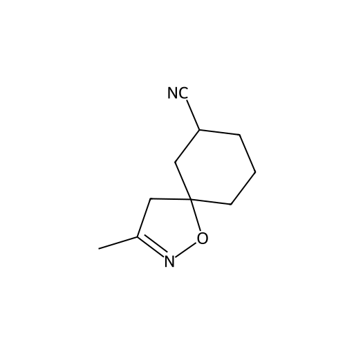 CC1=NOC2(CCCC(C#N)C2)C1